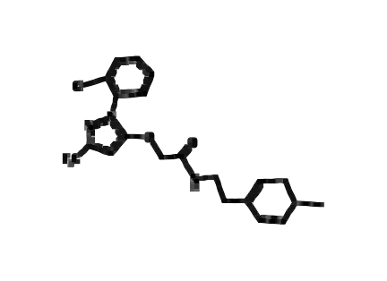 CC1C=CC(CCNC(=O)COc2cc(C(F)(F)F)nn2-c2ccccc2Cl)=CC1